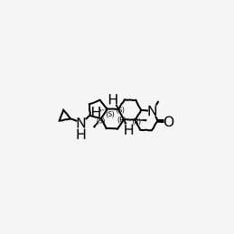 CN1C(=O)CC[C@@]2(C)C1CC[C@@H]1[C@H]2CC[C@]2(C)C(NC3CC3)CC[C@@H]12